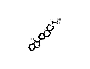 Cc1c(-c2ccc3c(c2)CCC2(CCN(C(=O)NO)CC2)O3)cnc2ccccc12